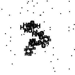 CC(O)(CCCNC(=O)Oc1ccccc1C(=O)OCn1nnnc1Cc1ccccc1)P(=O)(O)O